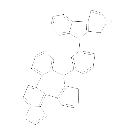 C1=CC2=C(CC1)N(c1cccc(-n3c4c(c5ccccc53)C=CNC4)c1)c1ccccc1-c1ccc3sccc3c12